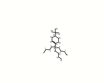 CCC[CH2][Sn]([CH2]CCC)([CH2]CCC)[C]1=CCC(C(C)(C)C)CC1